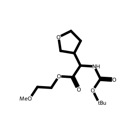 COCCOC(=O)C(NC(=O)OC(C)(C)C)C1CCOC1